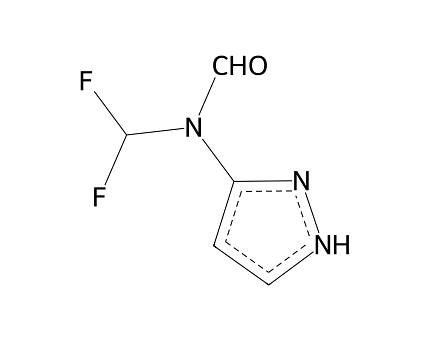 O=CN(c1cc[nH]n1)C(F)F